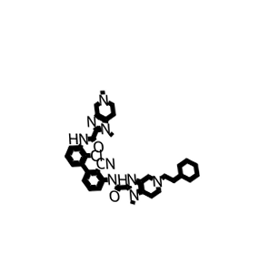 CN1CCc2c(nc(C(=O)Nc3cccc(-c4cccc(NC(=O)c5nc6c(n5C)CCN(CCC5CCCCC5)C6)c4C#N)c3Cl)n2C)C1